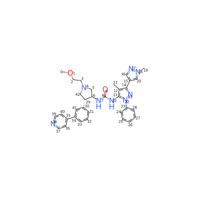 COCCN1C[C@@H](NC(=O)Nc2c(C)c(-c3cnn(C)c3)nn2-c2ccccc2)[C@H](c2cccc(-c3ccncc3)c2)C1